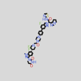 Cn1nc(N2CCC(=O)NC2=O)c2ccc([C@H]3CCN(CC(=O)N4CCN(c5ccc(-c6cc(F)c7cn(C(C(=O)Nc8nccs8)c8ncn9c8CCC9)nc7c6)cc5)CC4)CC3(F)F)cc21